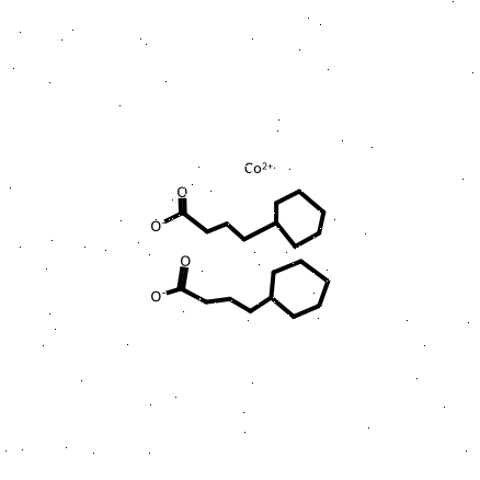 O=C([O-])CCCC1CCCCC1.O=C([O-])CCCC1CCCCC1.[Co+2]